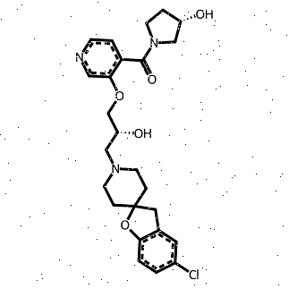 O=C(c1ccncc1OC[C@H](O)CN1CCC2(CC1)Cc1cc(Cl)ccc1O2)N1CC[C@H](O)C1